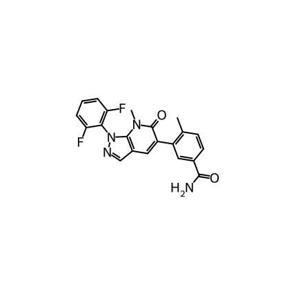 Cc1ccc(C(N)=O)cc1-c1cc2cnn(-c3c(F)cccc3F)c2n(C)c1=O